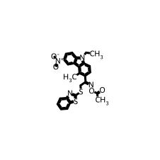 CCn1c2ccc([N+](=O)[O-])cc2c2c(C)c(/C(CSc3nc4ccccc4s3)=N/OC(C)=O)ccc21